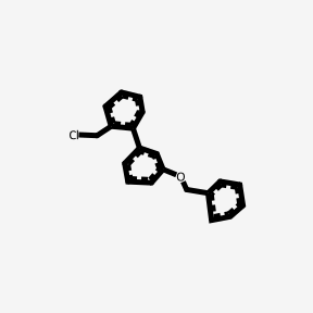 ClCc1ccccc1-c1cccc(OCc2ccccc2)c1